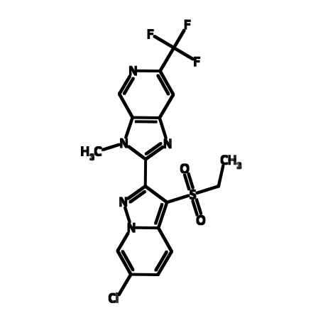 CCS(=O)(=O)c1c(-c2nc3cc(C(F)(F)F)ncc3n2C)nn2cc(Cl)ccc12